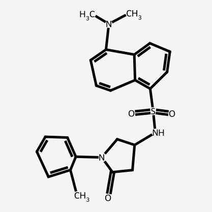 Cc1ccccc1N1CC(NS(=O)(=O)c2cccc3c(N(C)C)cccc23)CC1=O